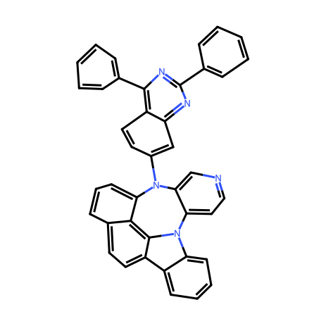 c1ccc(-c2nc(-c3ccccc3)c3ccc(-n4c5cccc6ccc7c8ccccc8n(c8ccncc84)c7c65)cc3n2)cc1